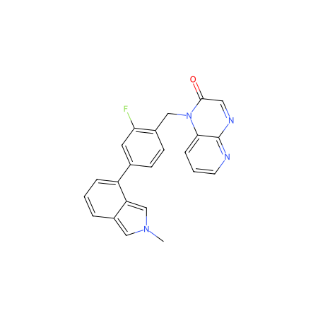 Cn1cc2cccc(-c3ccc(Cn4c(=O)cnc5ncccc54)c(F)c3)c2c1